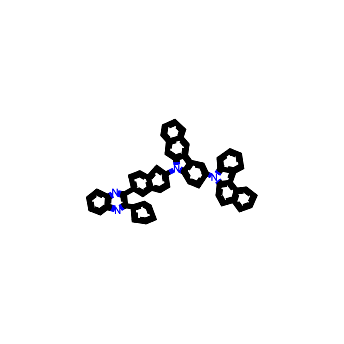 c1ccc(-c2nc3ccccc3nc2-c2ccc3cc(-n4c5ccc(-n6c7ccccc7c7c8ccccc8ccc76)cc5c5cc6ccccc6cc54)ccc3c2)cc1